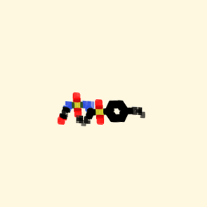 Cc1ccc(S(=O)(=O)C(C)NS(=O)(=O)N=C=O)cc1